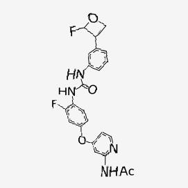 CC(=O)Nc1cc(Oc2ccc(NC(=O)Nc3cccc(C4COC4F)c3)c(F)c2)ccn1